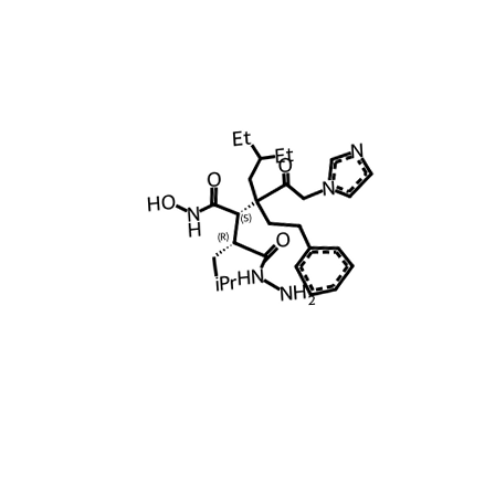 CCC(CC)CC(CCc1ccccc1)(C(=O)Cn1ccnc1)[C@@H](C(=O)NO)[C@@H](CC(C)C)C(=O)NN